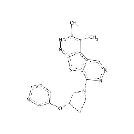 Cc1nnc2sc3c(N4CC[C@H](Oc5cccnc5)C4)nncc3c2c1C